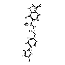 Cc1cn(-c2ccc(CNCC(O)c3ccc4c(c3C)COC4=O)cn2)cn1